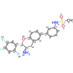 CS(=O)(=O)Nc1cccc(-c2ccc3c(c2)C[C@@H](N)[C@H](c2cc(F)c(F)cc2F)O3)c1